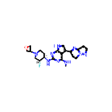 CNc1nc(N[C@@H]2CCN(C3COC3)C[C@@H]2F)nc2[nH]cc(-c3ccn4nccc4n3)c12